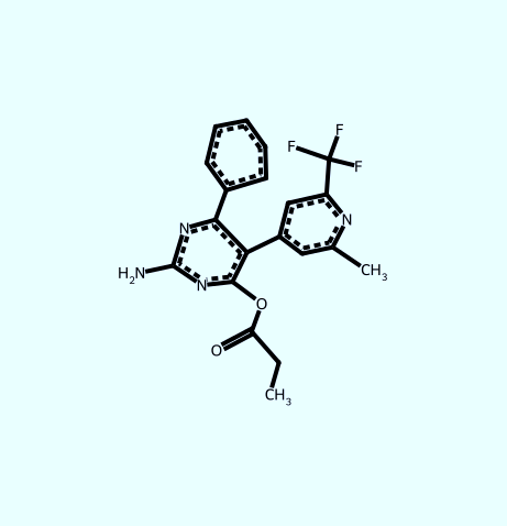 CCC(=O)Oc1nc(N)nc(-c2ccccc2)c1-c1cc(C)nc(C(F)(F)F)c1